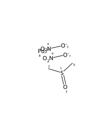 CS(C)=O.O=[N+]([O-])[O-].O=[N+]([O-])[O-].[Pd+2]